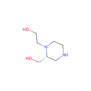 OCCN1CCNC[C@@H]1CO